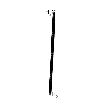 BB=BB=BB=BB=BB=BB=BB=BB=BB=BB=BB=BB=BB=BB=BB=BB=BB=BB=BB=BB=BB=BB=BB=BB=BB=BB=BB=BB=BB=BB=BB=BB=BB=BB=BB=BB=BB=CC